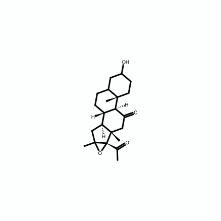 CC(=O)[C@@]12OC1(C)C[C@H]1[C@@H]3CCC4CC(O)CC[C@]4(C)[C@H]3C(=O)C[C@@]12C